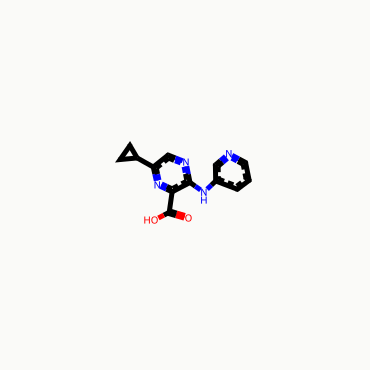 O=C(O)c1nc(C2CC2)cnc1Nc1cccnc1